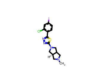 CN1CC2CN(c3nnc(-c4ccc(I)cc4Cl)s3)C[C@@H]2C1